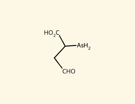 O=CCC([AsH2])C(=O)O